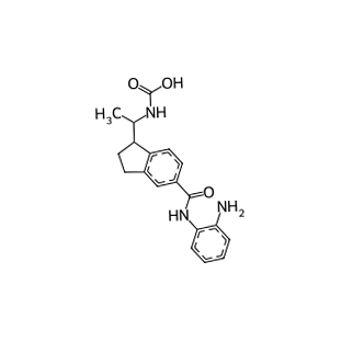 CC(NC(=O)O)C1CCc2cc(C(=O)Nc3ccccc3N)ccc21